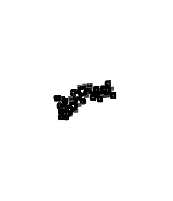 CC(C)(C)OC(=O)N(C(=O)OC(C)(C)C)c1cc(NC(=O)c2cc(NCC3(C=O)C(c4cc(Cl)cc(Cl)c4)C3(Cl)Cl)ccc2Cl)ccc1F